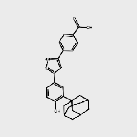 O=C(O)c1ccc(-c2cc(-c3ccc(O)c(C45CC6CC(CC(C6)C4)C5)c3)n[nH]2)cc1